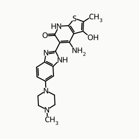 Cc1sc2[nH]c(=O)c(-c3nc4ccc(N5CCN(C)CC5)cc4[nH]3)c(N)c2c1O